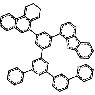 C1=c2c(-c3cc(-c4cc(-c5ccccc5)nc(-c5cccc(-c6ccccn6)c5)n4)cc(-c4ccnc5c4sc4ccccc45)c3)cc3ccccc3c2=CCC1